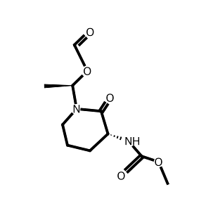 COC(=O)N[C@@H]1CCCN([C@@H](C)OC=O)C1=O